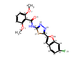 COc1cccc(OC)c1C(=O)Nc1nnc(-c2cc3ccc(F)cc3o2)s1